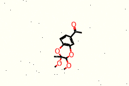 COC1Oc2cc(C(C)=O)ccc2OC1(C)OC